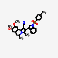 COC1=CC2=C(CC1OC)CC(C)n1c(C)c(-c3cn(S(=O)(=O)c4ccc(C)cc4)c4ccccc34)c(C#N)c12